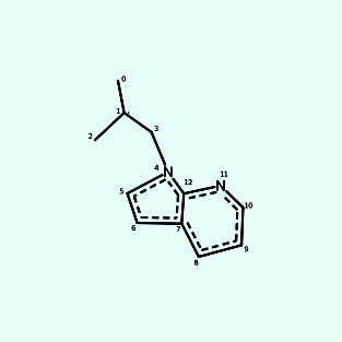 C[C](C)Cn1ccc2cccnc21